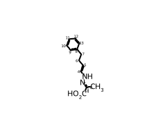 CC(=NNC=CCCc1ccccc1)C(=O)O